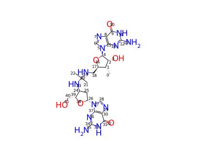 C[C@H]1[C@@H](O)[C@H](n2cnc3c(=O)[nH]c(N)nc32)O[C@@H]1CNC(C)(C)NC1C[C@H](n2cnc3c(=O)[nH]c(N)nc32)O[C@@H]1CO